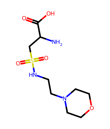 NC(CS(=O)(=O)NCCN1CCOCC1)C(=O)O